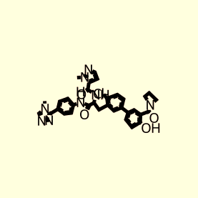 Cn1cnnc1-c1ccc(NC(=O)C(Cc2cc(-c3ccc(O)c(C(=O)N4CCC4)c3)ccc2Cl)NC(=O)c2ccnn2C)cc1